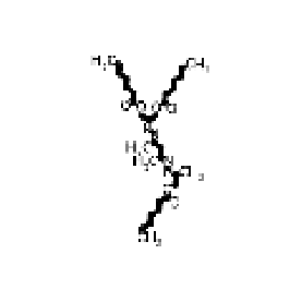 CCCCCCC(=O)OCC(COC(=O)CCCCCC)=N/N=C(\C)C/C(C)=N/N=C(\C)COC(=O)CCCCCC